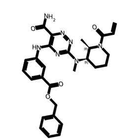 C=CC(=O)N1CCC[C@@H](N(C)c2nnc(C(N)=O)c(Nc3cccc(C(=O)OCc4ccccc4)c3)n2)[C@H]1C